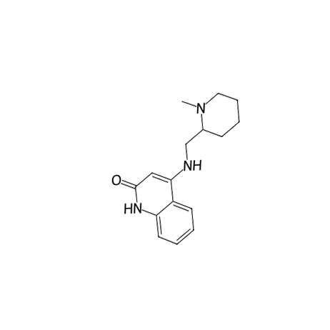 CN1CCCCC1CNc1cc(=O)[nH]c2ccccc12